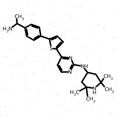 CC(N)c1ccc(-c2ccc(-c3ccnc(NC4CC(C)(C)NC(C)(C)C4)n3)s2)cc1